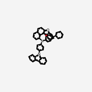 c1ccc(-c2ccc(N(c3ccc(-n4c5ccccc5c5ccccc54)cc3)c3cccc4ccc5oc6ccccc6c5c34)cc2)cc1